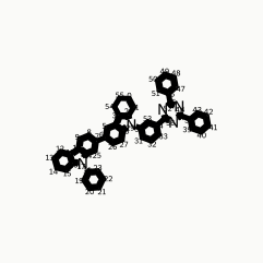 C1=Cc2c(c3cc(-c4ccc5c6ccccc6n(-c6ccccc6)c5c4)ccc3n2-c2cccc(-c3nc(-c4ccccc4)nc(-c4ccccc4)n3)c2)CC1